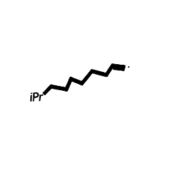 [CH]=CCCCCCCC(C)C